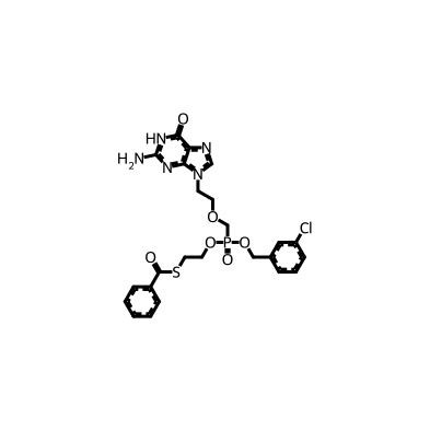 Nc1nc2c(ncn2CCOCP(=O)(OCCSC(=O)c2ccccc2)OCc2cccc(Cl)c2)c(=O)[nH]1